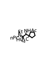 CCCN(CC)C(=O)C(NC(C)=O)C1(C(=O)O)CCCC1